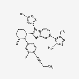 CCC#Cc1ccc(N2C(=O)CCC[C@H]2c2nc3cc(-c4c(C)noc4C)ccc3n2-c2nc(Br)cs2)cc1F